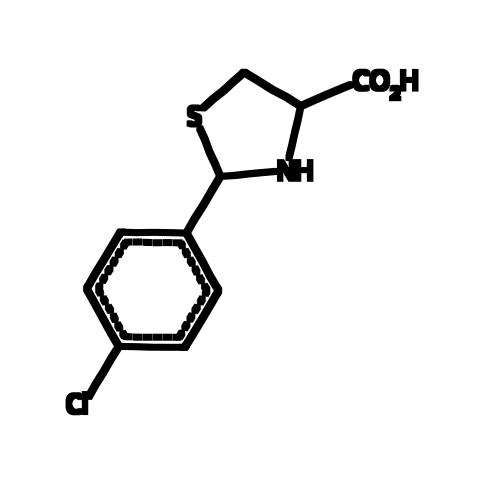 O=C(O)C1CSC(c2ccc(Cl)cc2)N1